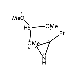 CCC1CN1.CO[SiH](OC)OC